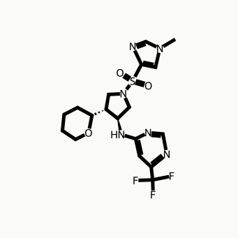 Cn1cnc(S(=O)(=O)N2C[C@@H](Nc3cc(C(F)(F)F)ncn3)[C@H](C3CCCCO3)C2)c1